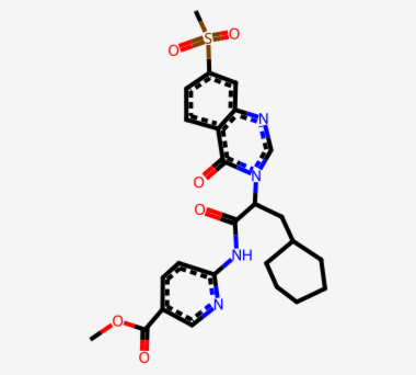 COC(=O)c1ccc(NC(=O)C(CC2CCCCC2)n2cnc3cc(S(C)(=O)=O)ccc3c2=O)nc1